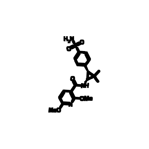 COc1ccc(C(=O)N[C@@H]2[C@@H](c3ccc(S(N)(=O)=O)cc3)C2(C)C)c(OC)n1